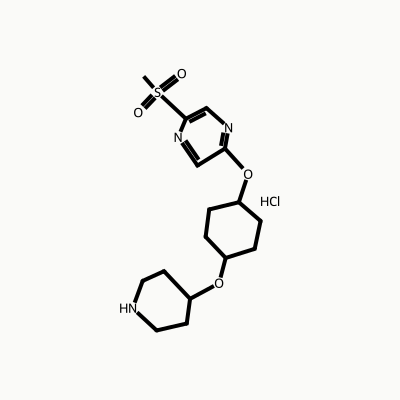 CS(=O)(=O)c1cnc(OC2CCC(OC3CCNCC3)CC2)cn1.Cl